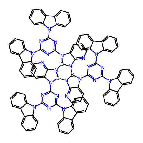 c1cnc2c(c1)N(c1nc(-n3c4ccccc4c4ccccc43)nc(-n3c4ccccc4c4ccccc43)n1)B1N2B2N(B3N1c1ncccc1N3c1nc(-n3c4ccccc4c4ccccc43)nc(-n3c4ccccc4c4ccccc43)n1)c1ncccc1N2c1nc(-n2c3ccccc3c3ccccc32)nc(-n2c3ccccc3c3ccccc32)n1